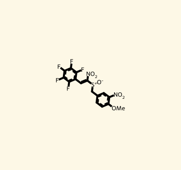 COc1ccc(C[S+]([O-])C(=Cc2c(F)c(F)c(F)c(F)c2F)[N+](=O)[O-])cc1[N+](=O)[O-]